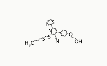 CCCCSCSc1nc(-c2nccs2)cc(-c2ccc(OCCO)cc2)c1C#N